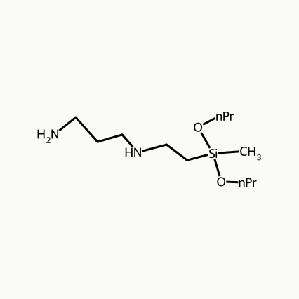 CCCO[Si](C)(CCNCCCN)OCCC